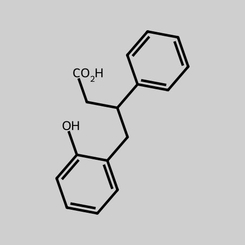 O=C(O)CC(Cc1ccccc1O)c1ccccc1